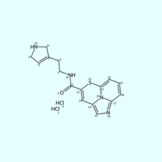 Cl.Cl.O=C(NCCC1=CCNC1)C1=Cc2cnc3cccc(n23)S1